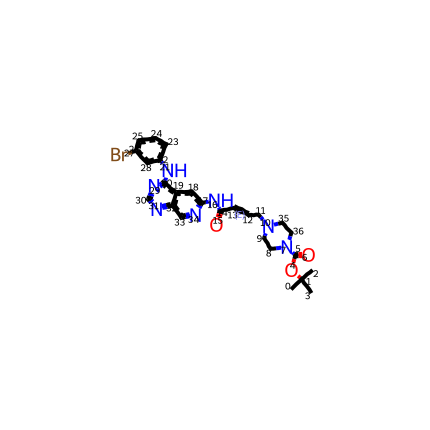 CC(C)(C)OC(=O)N1CCN(C/C=C/C(=O)Nc2cc3c(Nc4cccc(Br)c4)ncnc3cn2)CC1